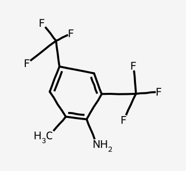 Cc1cc(C(F)(F)F)cc(C(F)(F)F)c1N